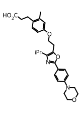 Cc1cc(OCCc2oc(-c3ccc(N4CCOCC4)cc3)nc2C(C)C)ccc1CCC(=O)O